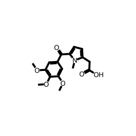 COc1cc(C(=O)c2ccc(CC(=O)O)n2C)cc(OC)c1OC